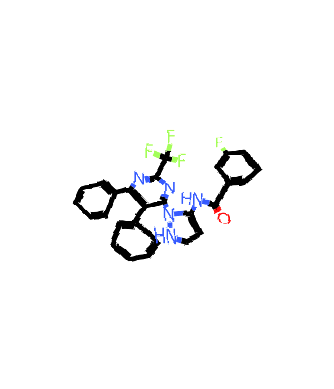 O=C(NC1=CCNN1c1nc(C(F)(F)F)nc(-c2ccccc2)c1-c1ccccc1)c1cccc(F)c1